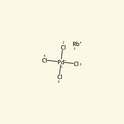 [Cl][Pd-]([Cl])([Cl])[Cl].[Rb+]